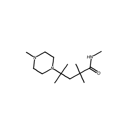 CNC(=O)C(C)(C)CC(C)(C)N1CCN(C)CC1